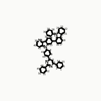 c1ccc(-c2cc(-c3ccc(-n4c5cc(-c6cccc7c8ccccc8n(-c8ccccc8)c67)ccc5c5ncccc54)cc3)nc(-c3ccccc3)n2)cc1